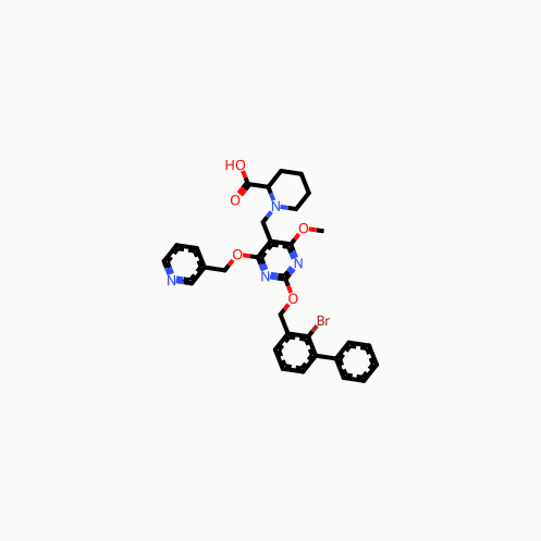 COc1nc(OCc2cccc(-c3ccccc3)c2Br)nc(OCc2cccnc2)c1CN1CCCCC1C(=O)O